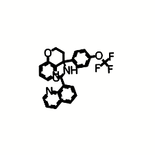 O=C(N[C@]1(c2ccc(OC(F)(F)F)cc2)CCOc2cccnc21)c1cccc2cccnc12